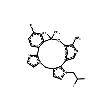 CC1(C)Oc2cc(cnc2N)-c2c(cnn2CC(F)F)Cn2ccnc2-c2ccc(F)cc21